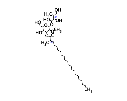 CCCCCCCCCCCCCCCCCCC/C=C(\C)C(=O)OC1C(O)C(CO)OC(OC(O)/C(O)=C(\C)CO)C1OC